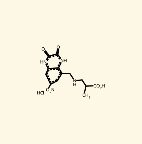 CC(CNCc1cc([N+](=O)[O-])cc2[nH]c(=O)c(=O)[nH]c12)C(=O)O.Cl